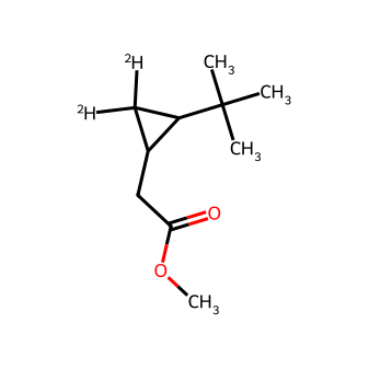 [2H]C1([2H])C(CC(=O)OC)C1C(C)(C)C